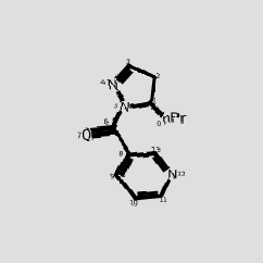 CCCC1CC=NN1C(=O)c1cccnc1